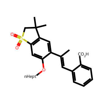 CCCCCCCOc1cc2c(cc1C(C)=Cc1ccccc1C(=O)O)C(C)(C)CS2(=O)=O